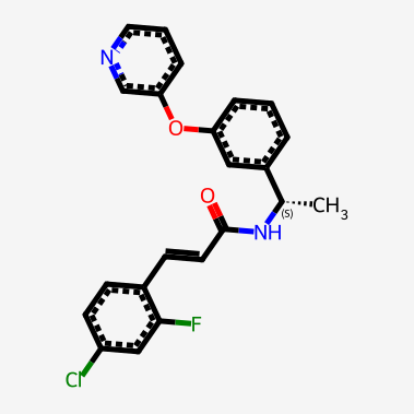 C[C@H](NC(=O)C=Cc1ccc(Cl)cc1F)c1cccc(Oc2cccnc2)c1